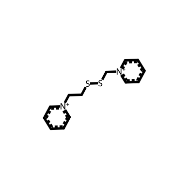 c1cc[n+](CCSSC[n+]2ccccc2)cc1